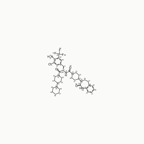 Nc1c(Cl)cc(C[C@@H](NC(=O)N2CCC(N3CCc4ccccc4NC3=O)CC2)C(=O)N2CCC(N3CCCCC3)CC2)cc1C(F)(F)F